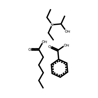 CCCCCC(=O)O.CCN(CC)C(C)O.O=C(O)c1ccccc1